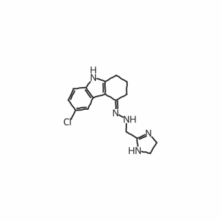 Clc1ccc2[nH]c3c(c2c1)C(=NNCC1=NCCN1)CCC3